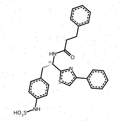 O=C([CH]Cc1ccccc1)N[C@@H](Cc1ccc(NS(=O)(=O)O)cc1)c1nc(-c2ccccc2)cs1